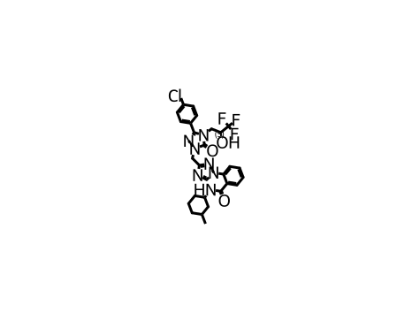 CC1CCCC(NC(=O)c2ccccc2-n2cnc(Cn3nc(-c4ccc(Cl)cc4)n(C[C@H](O)C(F)(F)F)c3=O)n2)C1